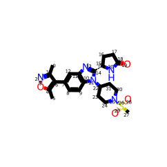 Cc1noc(C)c1-c1ccc2c(c1)nc([C@@H]1CCC(=O)N1)n2C1CCN(S(C)(=O)=O)CC1